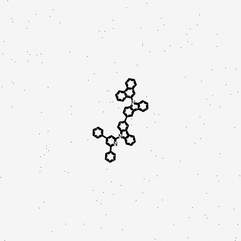 c1ccc(-c2cc(-c3ccccc3)nc(-n3c4ccccc4c4cc(-c5ccc6c(c5)c5ccccc5n6-c5cc6ccccc6c6ccccc56)ccc43)c2)cc1